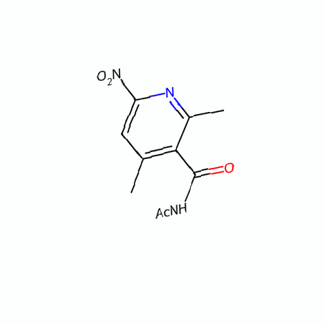 CC(=O)NC(=O)c1c(C)cc([N+](=O)[O-])nc1C